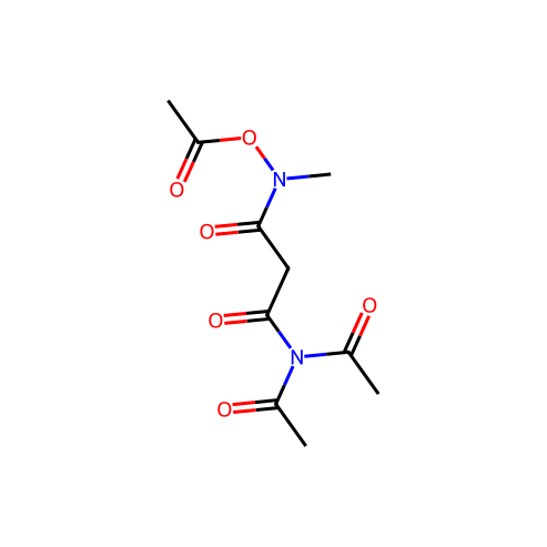 CC(=O)ON(C)C(=O)CC(=O)N(C(C)=O)C(C)=O